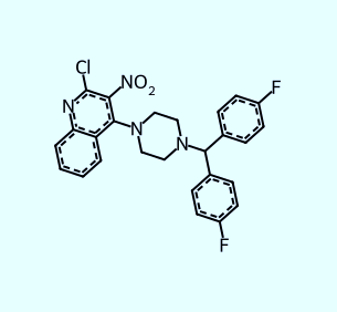 O=[N+]([O-])c1c(Cl)nc2ccccc2c1N1CCN(C(c2ccc(F)cc2)c2ccc(F)cc2)CC1